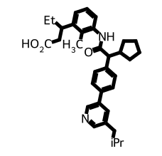 CCC(CC(=O)O)c1cccc(NC(=O)C(c2ccc(-c3cncc(CC(C)C)c3)cc2)C2CCCC2)c1C